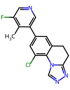 Cc1c(F)cncc1-c1cc(Cl)c2c(c1)CCc1nncn1-2